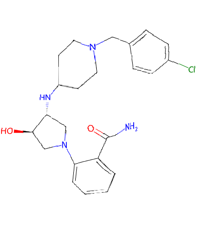 NC(=O)c1ccccc1N1C[C@@H](O)[C@H](NC2CCN(Cc3ccc(Cl)cc3)CC2)C1